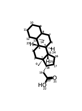 C[C@]12CC[C@H]3[C@@H](CCC4CCCC[C@@]43C)[C@@H]1CC[C@@H]2CC(=O)O